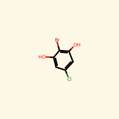 Oc1cc(Cl)cc(O)c1Br